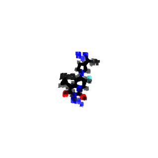 COc1c(N2CCC(C(N)C(C)C)C2)c(F)cn2c(=O)n(N)c(=O)c(C3CC3)c12